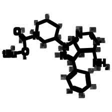 CC(C)(C)OC(=O)N1CCCC(n2nc(-c3ccccc3)c3c(N)ncnc32)C1